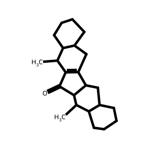 CC1C2=C(CC3CCCCC31)C1CC3CCCCC3C(C)C1C2=O